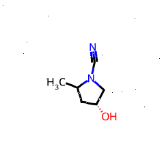 CC1C[C@@H](O)CN1C#N